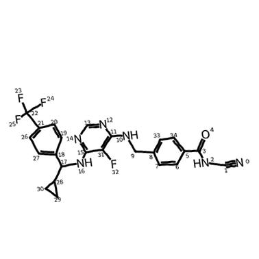 N#CNC(=O)c1ccc(CNc2ncnc(NC(c3ccc(C(F)(F)F)cc3)C3CC3)c2F)cc1